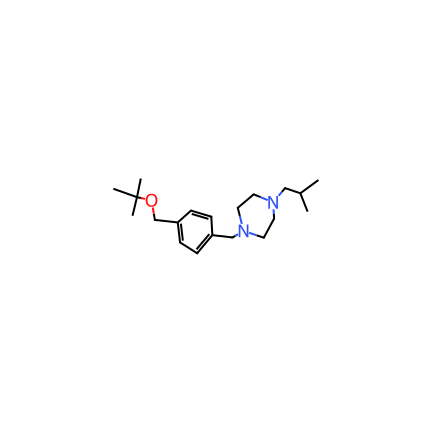 CC(C)CN1CCN(Cc2ccc(COC(C)(C)C)cc2)CC1